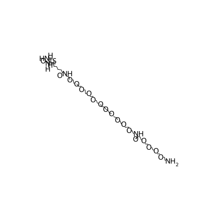 NCCOCCOCCOCCOCCC(=O)NCCOCCOCCOCCOCCOCCOCCOCCOCCOCCOCCOCCNC(=O)CCCC[C@@H]1SC[C@@H]2NC(=O)N[C@@H]21